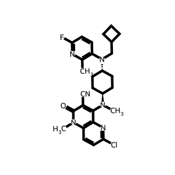 Cc1nc(F)ccc1N(CC1CCC1)[C@H]1CC[C@H](N(C)c2c(C#N)c(=O)n(C)c3ccc(Cl)nc23)CC1